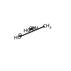 CCCCCCCCCCCCCCCCCCCCCCCCCCC(=O)O.OCC(O)CO